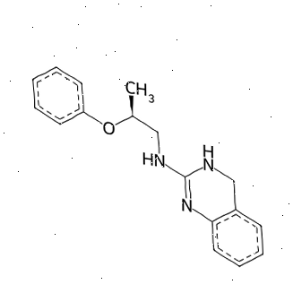 C[C@@H](CNC1=Nc2ccccc2CN1)Oc1ccccc1